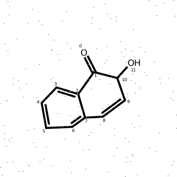 O=C1c2ccccc2C=CC1O